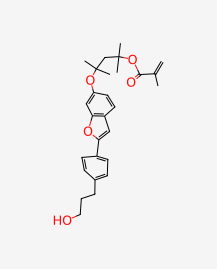 C=C(C)C(=O)OC(C)(C)CC(C)(C)Oc1ccc2cc(-c3ccc(CCCO)cc3)oc2c1